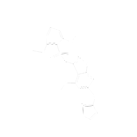 COc1cccc(OC)c1S(=O)(=O)Nc1noc2cc(Oc3ccon3)cc(OC)c12